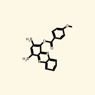 Bc1cc(B)c2nc3ccccc3nc2c1OC(=O)c1ccc(OC)cc1